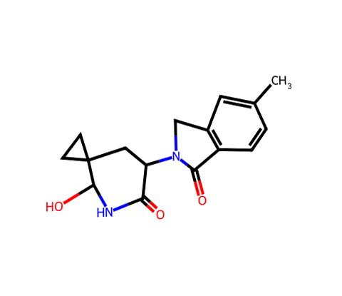 Cc1ccc2c(c1)CN(C1CC3(CC3)C(O)NC1=O)C2=O